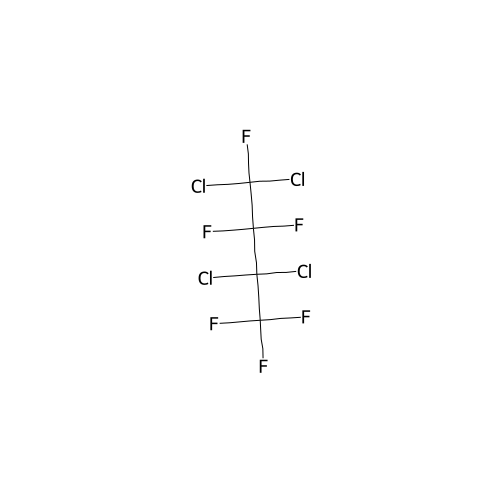 FC(F)(F)C(Cl)(Cl)C(F)(F)C(F)(Cl)Cl